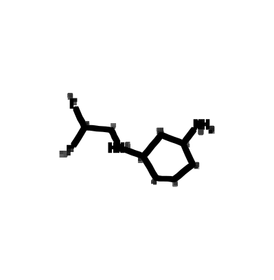 NC1CCCC(NCC(F)F)C1